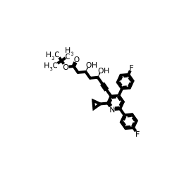 CC(C)(C)OC(=O)C[C@H](O)C[C@H](O)C#Cc1c(-c2ccc(F)cc2)cc(-c2ccc(F)cc2)nc1C1CC1